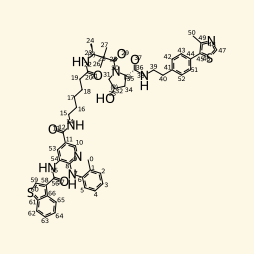 Cc1ccccc1Nc1ncc(C(=O)NCCCCCC(=O)N[C@@H](C)C(C)(C)C(=O)N2C[C@H](O)C[C@H]2C(=O)NCCc2ccc(-c3scnc3C)cc2)cc1NC(=O)c1csc2ccccc12